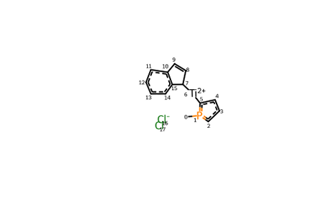 Cp1ccc[c]1[Ti+2][CH]1C=Cc2ccccc21.[Cl-].[Cl-]